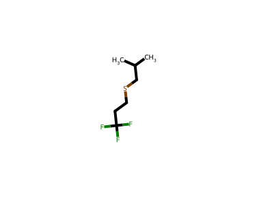 CC(C)CSCCC(F)(F)F